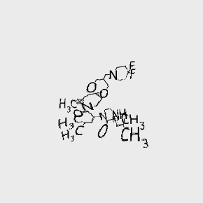 CC(C)CC(C(=O)N1CCC2(C[C@@H]1C)OCC(CN1CCC(F)(F)CC1)CO2)N1CCN[C@@H](CC(C)C)C1=O